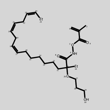 C=C(C)C(=O)ONC(=O)C(CC)(CCCCCC/C=C\C/C=C\C/C=C\CC)OCCCO